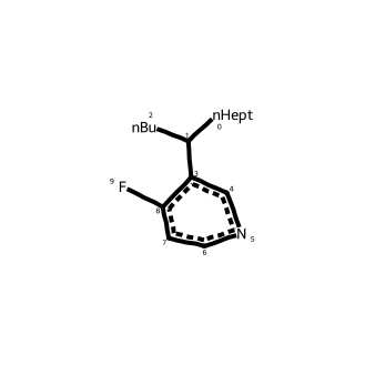 CCCCCCCC(CCCC)c1cnccc1F